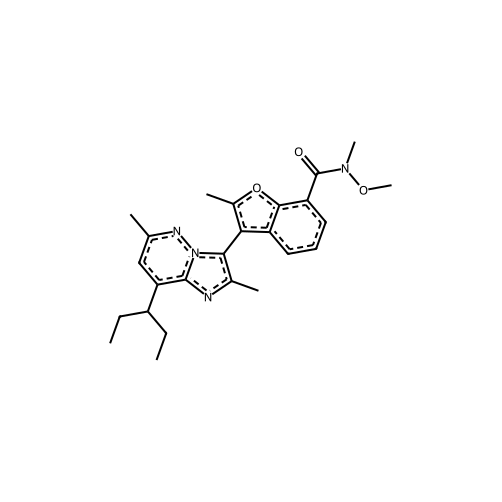 CCC(CC)c1cc(C)nn2c(-c3c(C)oc4c(C(=O)N(C)OC)cccc34)c(C)nc12